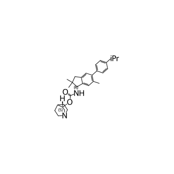 Cc1cc2c(cc1-c1ccc(C(C)C)cc1)CC(C)(C)[C@H]2NC(=O)O[C@@H]1CN2CCC1CC2